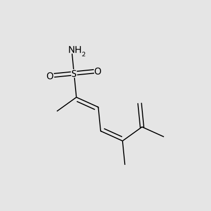 C=C(C)/C(C)=C\C=C(/C)S(N)(=O)=O